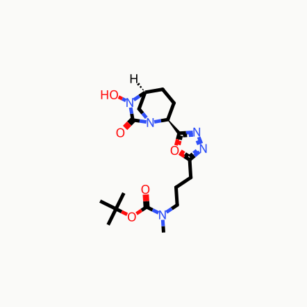 CN(CCCc1nnc([C@@H]2CC[C@H]3CN2C(=O)N3O)o1)C(=O)OC(C)(C)C